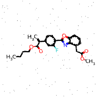 C=C(C(=O)OCCCC)c1ccc(-c2nc3c(CC(=O)OC)cccc3o2)c(F)c1